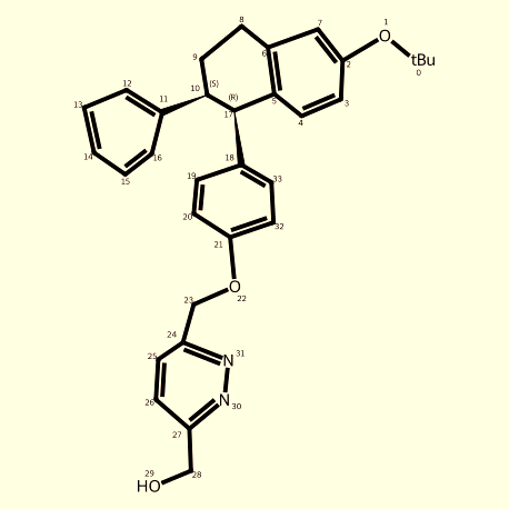 CC(C)(C)Oc1ccc2c(c1)CC[C@H](c1ccccc1)[C@@H]2c1ccc(OCc2ccc(CO)nn2)cc1